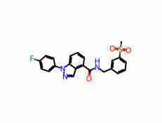 CS(=O)(=O)c1cccc(CNC(=O)c2cccc3c2cnn3-c2ccc(F)cc2)c1